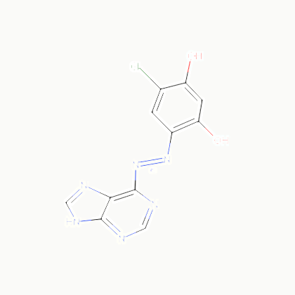 Oc1cc(O)c(/N=N/c2ncnc3[nH]cnc23)cc1Cl